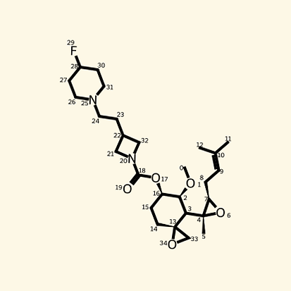 CO[C@H]1C([C@@]2(C)O[C@@H]2CC=C(C)C)[C@]2(CC[C@H]1OC(=O)N1CC(CCN3CCC(F)CC3)C1)CO2